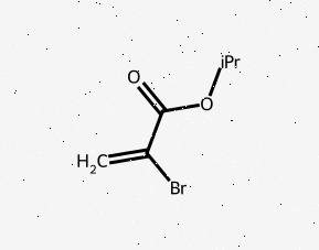 C=C(Br)C(=O)OC(C)C